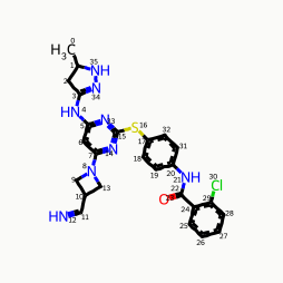 CC1CC(Nc2cc(N3CC(C=N)C3)nc(Sc3ccc(NC(=O)c4ccccc4Cl)cc3)n2)=NN1